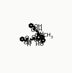 CN1CC[C@]23c4c5ccc(O)c4O[C@H]2C(OC(=O)CCNC(=O)[C@@H](O)c2ccccc2)=CC[C@@]3(OC(=O)CCNC(=O)[C@@H](O)c2ccccc2)[C@H]1C5